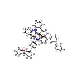 c1ccc(-c2cccc(-c3ccc(N(c4ccc(-c5cccc6c5oc5ccccc56)cc4)c4ccccc4-c4ccccc4-c4ccccc4-n4c5ccccc5c5ccccc54)cc3)c2)cc1